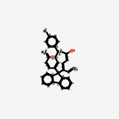 C=C/C(=C\C=C(/C)O)C1(C(/C=C\C(=C)O)=C/CCc2ccc(CC)cc2)c2ccccc2-c2ccccc21